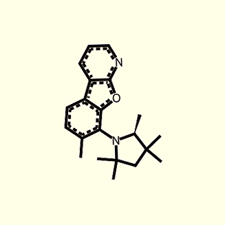 Cc1ccc2c(oc3ncccc32)c1N1[C@@H](C)C(C)(C)CC1(C)C